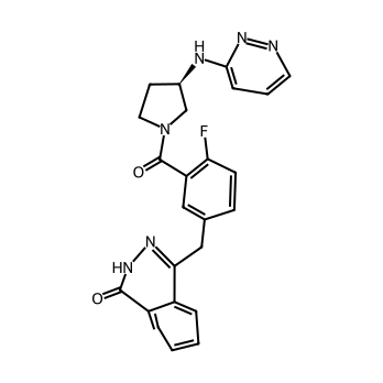 O=C(c1cc(Cc2n[nH]c(=O)c3ccccc23)ccc1F)N1CC[C@@H](Nc2cccnn2)C1